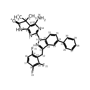 CC1(C)C(=O)Nc2nc(-n3nc(Cc4c(F)ccc(F)c4F)c4cc(-c5ccccc5)ccc43)nc(N)c21